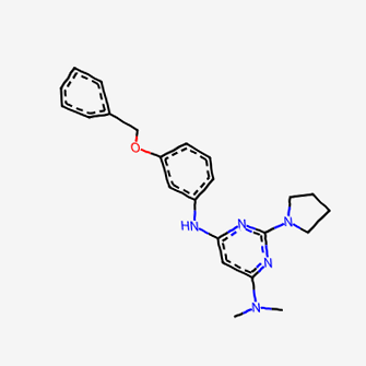 CN(C)c1cc(Nc2cccc(OCc3ccccc3)c2)nc(N2CCCC2)n1